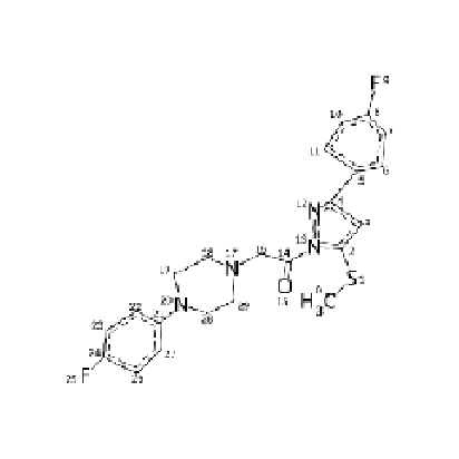 CSc1cc(-c2ccc(F)cc2)nn1C(=O)CN1CCN(c2ccc(F)cc2)CC1